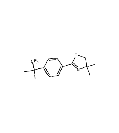 CC1(C)COC(c2ccc(C(C)(C)C(F)(F)F)cc2)=N1